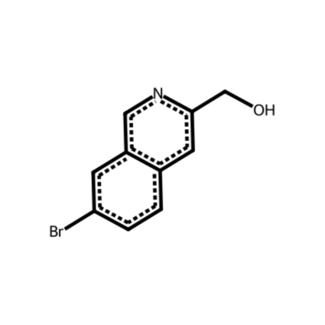 OCc1cc2ccc(Br)cc2cn1